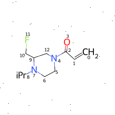 C=CC(=O)N1CCN(C(C)C)C(CF)C1